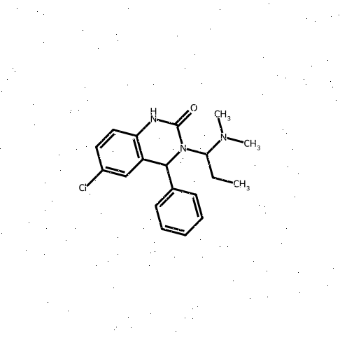 CCC(N(C)C)N1C(=O)Nc2ccc(Cl)cc2C1c1ccccc1